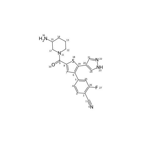 N#Cc1ccc(-c2cc(C(=O)N3CCCC(N)C3)sc2-c2cn[nH]c2)cc1F